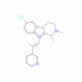 C/C(=C\n1c2c(c3cc(Cl)ccc31)CCN(C)C2C)c1cccnc1